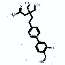 CCCCOc1ccc(-c2ccc(CCC(COC(C)=O)(COC(C)=O)CC(N)=O)cc2)cc1Cl